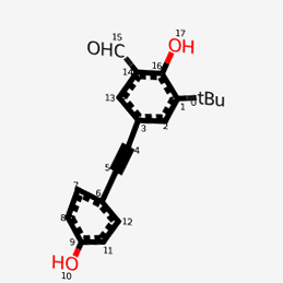 CC(C)(C)c1cc(C#Cc2ccc(O)cc2)cc(C=O)c1O